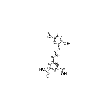 COc1ccc(O)c(CCNCc2cc(C(=O)O)cc(CO)n2)n1